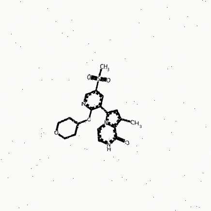 Cc1cc(-c2cc(S(C)(=O)=O)cnc2OC2CCOCC2)n2cc[nH]c(=O)c12